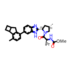 COC(=O)N[C@H](C(=O)N1C[C@@H](C)C[C@H]1c1nc2ccc(-c3ccc(C)c4c3CC3CCC43)cc2[nH]1)C(C)C